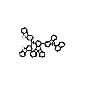 c1ccc2c(c1)C1c3c(-c4ccc5c(c4)c4ccccc4n5-c4cccc5ccccc45)ccc(N(c4ccc5c(c4)oc4ccccc45)c4ccc5c(c4)oc4ccccc45)c3C3c4ccccc4C213